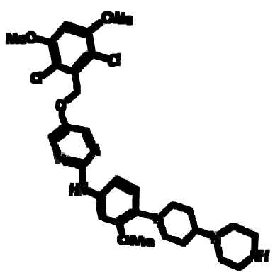 COc1cc(Nc2ncc(OCc3c(Cl)c(OC)cc(OC)c3Cl)cn2)ccc1N1CCC(N2CCNCC2)CC1